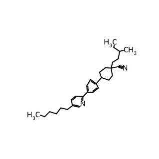 CCCCCCc1ccc(-c2ccc(C3CCC(C#N)(CCC(C)CC)CC3)cc2)nc1